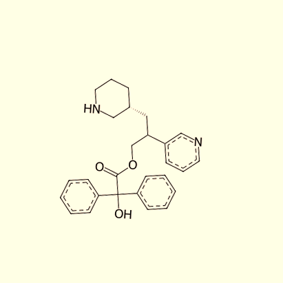 O=C(OCC(C[C@H]1CCCNC1)c1cccnc1)C(O)(c1ccccc1)c1ccccc1